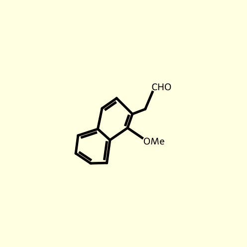 COc1c(CC=O)ccc2ccccc12